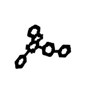 c1ccc(-c2ccc(-c3nc(-c4ccccc4)nc4c3sc3ccccc34)cc2)cc1